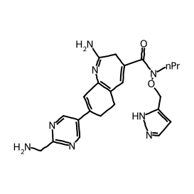 CCCN(OCc1ccn[nH]1)C(=O)C1=CC2=C(C=C(c3cnc(CN)nc3)CC2)N=C(N)C1